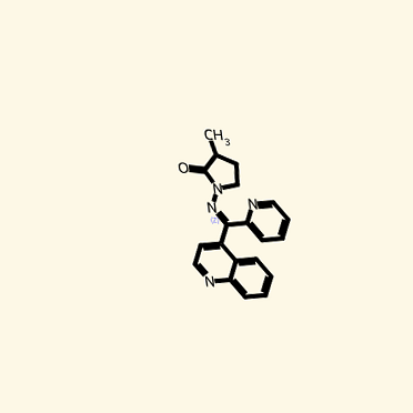 CC1CCN(/N=C(\c2ccccn2)c2ccnc3ccccc23)C1=O